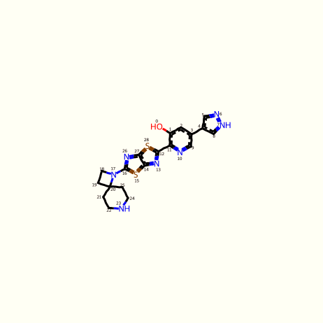 Oc1cc(-c2cn[nH]c2)cnc1-c1nc2sc(N3CCC34CCNCC4)nc2s1